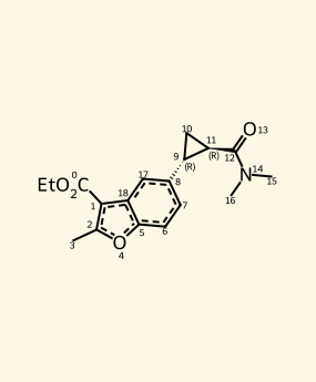 CCOC(=O)c1c(C)oc2ccc([C@@H]3C[C@H]3C(=O)N(C)C)cc12